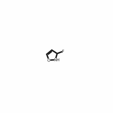 F[C]1C=CON1